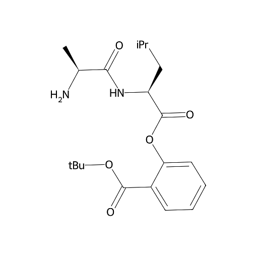 CC(C)C[C@H](NC(=O)[C@H](C)N)C(=O)Oc1ccccc1C(=O)OC(C)(C)C